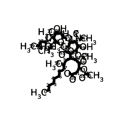 CCCCCCCC1OC(=O)CC(OC(C)=O)C(OC)C(O[C@@H]2O[C@H](C)[C@@H](O[C@H]3C[C@@](C)(O)[C@@H](OC(=O)CC(C)C)[C@H](C)O3)[C@H](N(C)C)[C@H]2O)C(CC=O)CC1C